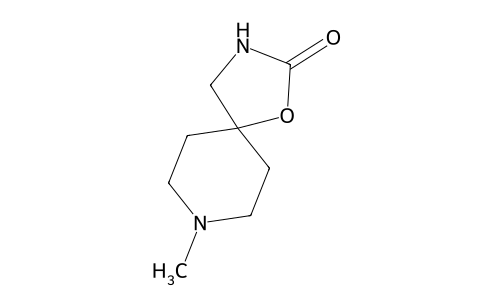 CN1CCC2(CC1)CNC(=O)O2